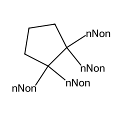 CCCCCCCCCC1(CCCCCCCCC)CCCC1(CCCCCCCCC)CCCCCCCCC